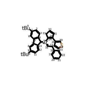 CC(C)(C)c1ccc2c(c1)-c1cc(C(C)(C)C)ccc1[CH]2[Zr](=[CH]Cc1ccccc1)[C]1=C(c2ccsc2)C=CC1